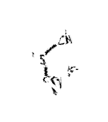 N#CSC#N.[K]